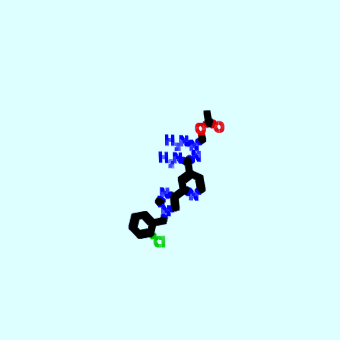 CC(=O)OCN(N)/N=C(\N)c1ccnc(-c2cn(Cc3ccccc3Cl)cn2)c1